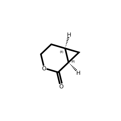 O=C1OCC[C@H]2C[C@@H]12